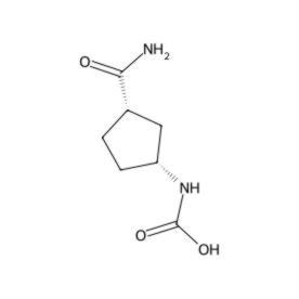 NC(=O)[C@H]1CC[C@@H](NC(=O)O)C1